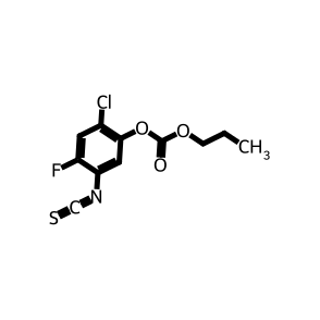 CCCOC(=O)Oc1cc(N=C=S)c(F)cc1Cl